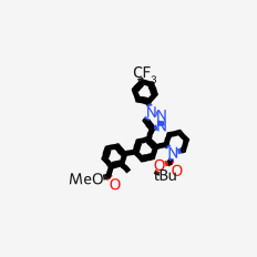 COC(=O)c1cccc(-c2ccc(C3CCCCN3C(=O)OC(C)(C)C)c(-c3cn(-c4ccc(C(F)(F)F)cc4)nn3)c2)c1C